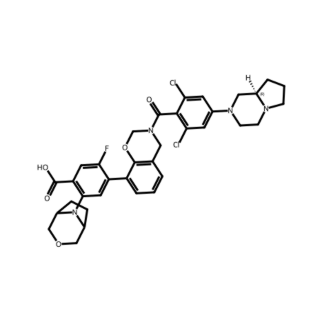 O=C(O)c1cc(F)c(-c2cccc3c2OCN(C(=O)c2c(Cl)cc(N4CCN5CCC[C@@H]5C4)cc2Cl)C3)cc1N1C2CCC1COC2